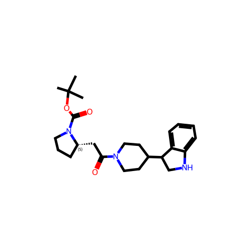 CC(C)(C)OC(=O)N1CCC[C@H]1CC(=O)N1CCC(C2CNc3ccccc32)CC1